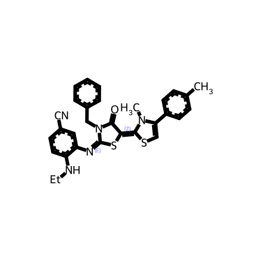 CCNc1ccc(C#N)cc1/N=C1/S/C(=C2\SC=C(c3ccc(C)cc3)N2C)C(=O)N1Cc1ccccc1